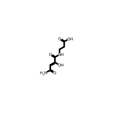 NC(=O)/C=C(\O)C(=O)NCCC(=O)O